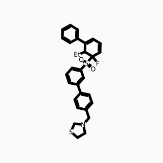 CCC1C(c2ccccc2)=CC=CC1(F)S(=O)(=O)c1cccc(-c2ccc(CN3CCSC3)cc2)c1